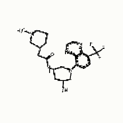 C[C@H]1C[C@@H](NC(=O)CC2CCCN(C)C2)CN(c2ccc(C(F)(F)F)c3nccnc23)C1